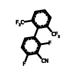 N#Cc1c(F)ccc(-c2c(C(F)(F)F)cccc2C(F)(F)F)c1F